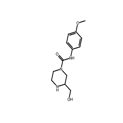 COc1ccc(NC(=O)N2CCNC(CO)C2)cc1